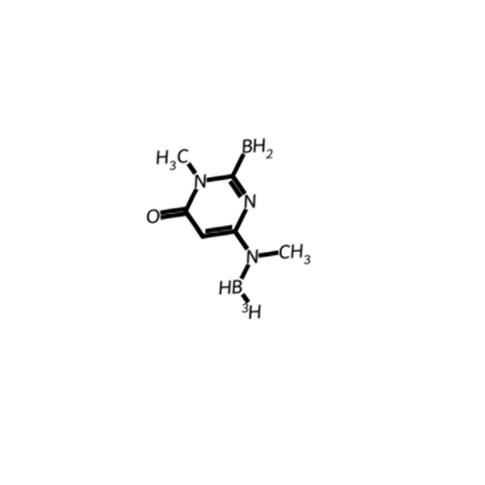 [3H]BN(C)c1cc(=O)n(C)c(B)n1